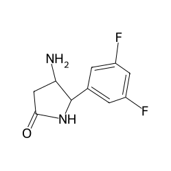 NC1CC(=O)NC1c1cc(F)cc(F)c1